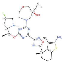 C[C@H](Oc1nc(-c2noc([C@@]3(C)CCCc4sc(N)c(C#N)c43)n2)nc(N2CCOC[C@](O)(C3CC3)C2)n1)[C@@H]1C[C@@H](F)CN1C